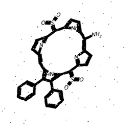 NC1=C2C=CC(=N2)C(=S(=O)=O)c2[nH]c(c(-c3ccccc3)c2-c2ccccc2)C=C2C=CC(=N2)C(=S(=O)=O)c2ccc1[nH]2